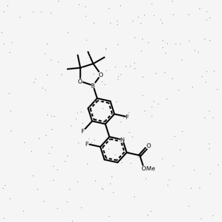 COC(=O)c1ccc(F)c(-c2c(F)cc(B3OC(C)(C)C(C)(C)O3)cc2F)n1